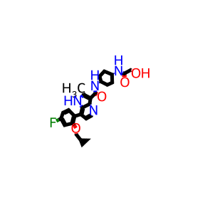 Cc1[nH]c2c(-c3ccc(F)cc3OCC3CC3)ccnc2c1C(=O)N[C@H]1CC[C@@H](NC(=O)CO)CC1